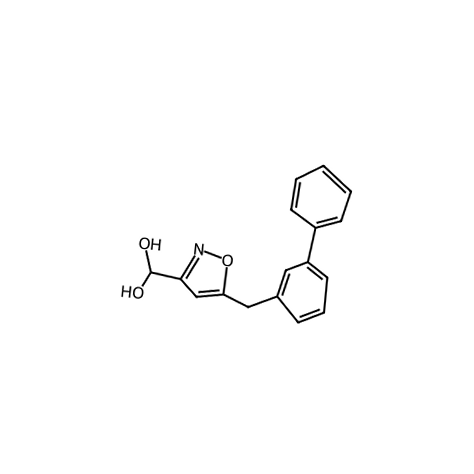 OC(O)c1cc(Cc2cccc(-c3ccccc3)c2)on1